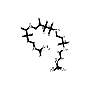 CC(N)OCCC(C)(C)C(C)OCC(C)C(C)(C)C(C)(C)OCCC(C)(C)OCCOC(=O)C(C)C